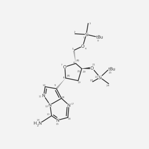 CC(C)(C)[Si](C)(C)OC[C@H]1O[C@@H](c2cnn3c(N)ncnc23)C[C@@H]1O[Si](C)(C)C(C)(C)C